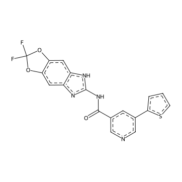 O=C(Nc1nc2cc3c(cc2[nH]1)OC(F)(F)O3)c1cncc(-c2cccs2)c1